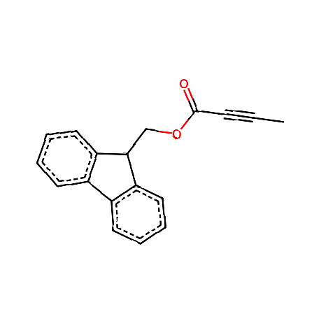 CC#CC(=O)OCC1c2ccccc2-c2ccccc21